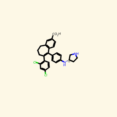 O=C(O)c1ccc2c(c1)CCCC(c1ccc(Cl)cc1Cl)=C2c1ccc(N[C@H]2CCNC2)cc1